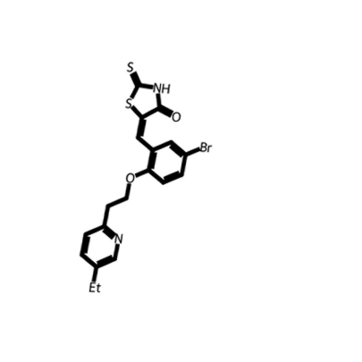 CCc1ccc(CCOc2ccc(Br)cc2C=C2SC(=S)NC2=O)nc1